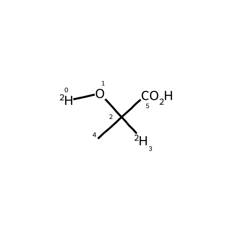 [2H]OC([2H])(C)C(=O)O